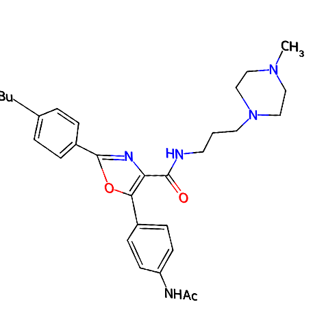 CC(=O)Nc1ccc(-c2oc(-c3ccc(C(C)(C)C)cc3)nc2C(=O)NCCCN2CCN(C)CC2)cc1